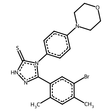 Cc1cc(C)c(-c2n[nH]c(=S)n2-c2ccc(N3CCOCC3)cc2)cc1Br